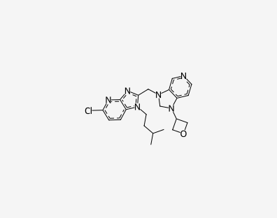 CC(C)CCn1c(CN2CN(C3COC3)c3ccncc32)nc2nc(Cl)ccc21